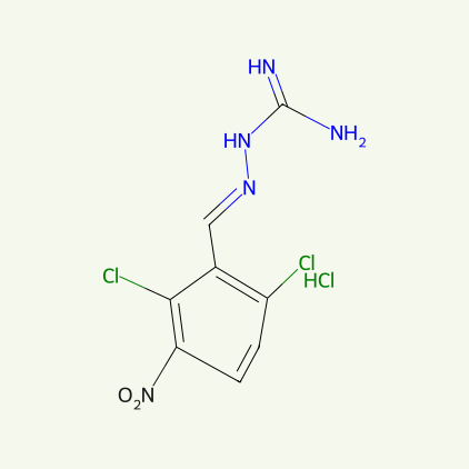 Cl.N=C(N)NN=Cc1c(Cl)ccc([N+](=O)[O-])c1Cl